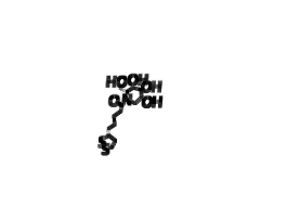 O=C(CCCC[C@@H]1CCSS1)N1C[C@H](O)[C@@H](O)[C@H](O)[C@H]1CO